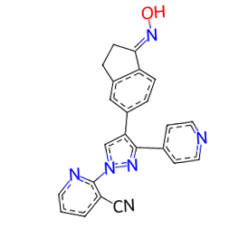 N#Cc1cccnc1-n1cc(-c2ccc3c(c2)CCC3=NO)c(-c2ccncc2)n1